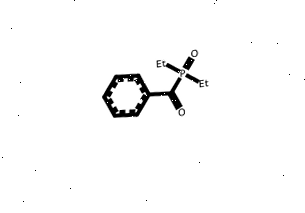 CCP(=O)(CC)C(=O)c1ccccc1